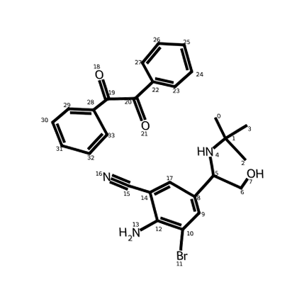 CC(C)(C)NC(CO)c1cc(Br)c(N)c(C#N)c1.O=C(C(=O)c1ccccc1)c1ccccc1